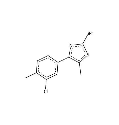 Cc1ccc(-c2nc(C(C)C)sc2C)cc1Cl